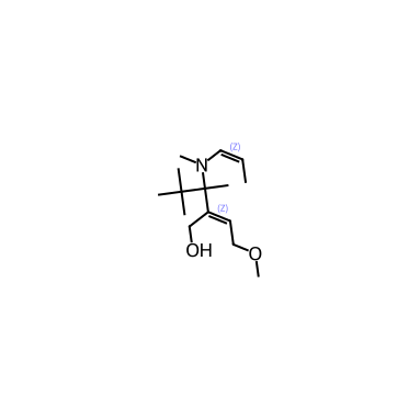 C/C=C\N(C)C(C)(/C(=C/COC)CO)C(C)(C)C